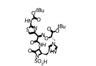 C[C@H](ON=C(C(=O)N[C@@H]1C(=O)N(S(=O)(=O)O)[C@@H]1Cn1cncn1)c1csc(NC(=O)OC(C)(C)C)n1)C(=O)OC(C)(C)C